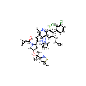 [2H]C([2H])(OC1CC(c2cc3c(C)nc4c(F)c(-c5cccc(Cl)c5Cl)c(CCC#N)cc4c3n2C2C3CNC2C3)N(C(=O)C2CC2)C1)c1cc(C)sn1